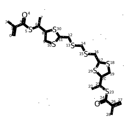 C=C(C)C(=O)SC(C)C1CSC(CSCSCC2SCC(C(C)SC(=O)C(=C)C)S2)S1